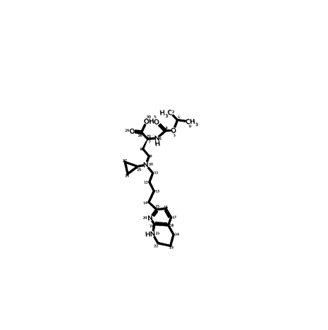 CC(C)OC(=O)N[C@@H](CCN(CCCCc1ccc2c(n1)NCCC2)C1CC1)C(=O)O